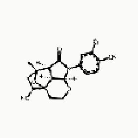 C[C@@]12C[C@H](C#N)[C@]3(CCO[C@H]4[C@@H]3[C@@H]1C(=O)N4c1ccc(C#N)c(Cl)c1)O2